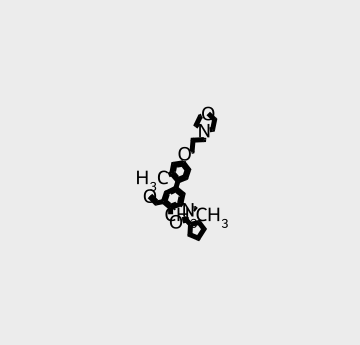 CCN(C(=O)C1CCCC1)c1cc(-c2ccc(OCCCN3CCOCC3)cc2C)cc(C=O)c1C